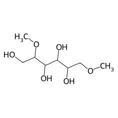 COCC(O)C(O)C(O)C(CO)OC